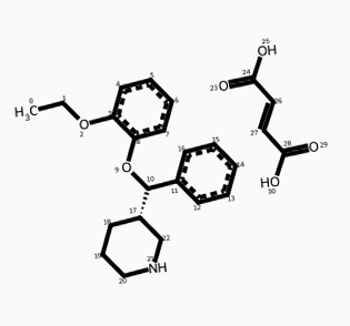 CCOc1ccccc1OC(c1ccccc1)[C@H]1CCCNC1.O=C(O)/C=C/C(=O)O